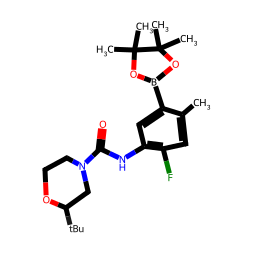 Cc1cc(F)c(NC(=O)N2CCOC(C(C)(C)C)C2)cc1B1OC(C)(C)C(C)(C)O1